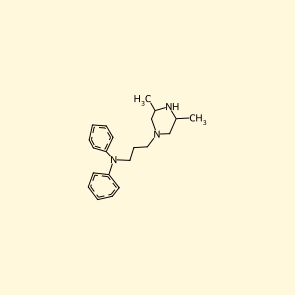 CC1CN(CCCN(c2ccccc2)c2ccccc2)CC(C)N1